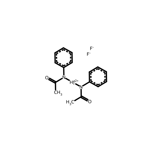 CC(=O)[N]([Hf+2][N](C(C)=O)c1ccccc1)c1ccccc1.[F-].[F-]